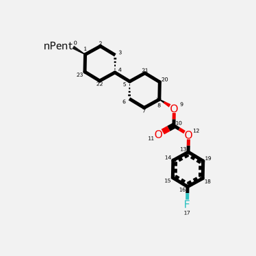 CCCCC[C@H]1CC[C@H]([C@H]2CC[C@H](OC(=O)Oc3ccc(F)cc3)CC2)CC1